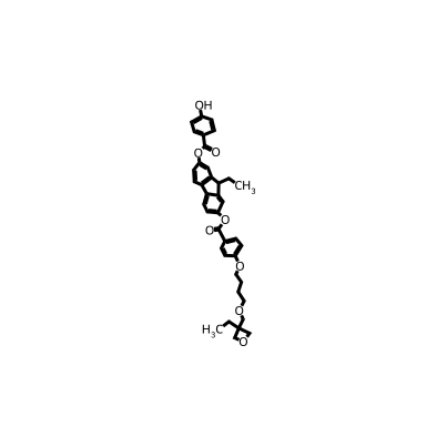 CCC1c2cc(OC(=O)c3ccc(O)cc3)ccc2-c2ccc(OC(=O)c3ccc(OCCCCOCC4(CC)COC4)cc3)cc21